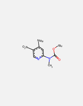 CNc1cc(N(C)C(=O)OC(C)(C)C)ncc1[N+](=O)[O-]